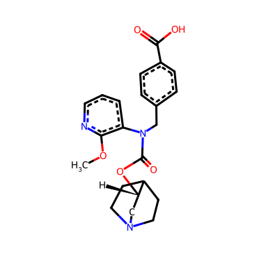 COc1ncccc1N(Cc1ccc(C(=O)O)cc1)C(=O)O[C@H]1CN2CCC1CC2